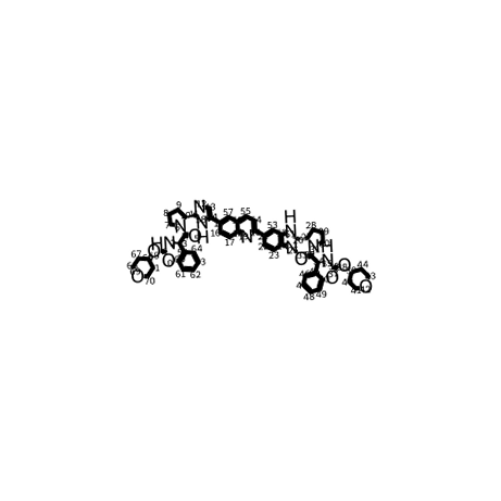 O=C(N[C@@H](C(=O)N1CCC[C@H]1c1ncc(-c2ccc3nc(-c4ccc5nc([C@@H]6CCCN6C(=O)[C@H](NC(=O)OC6CCOCC6)c6ccccc6)[nH]c5c4)ccc3c2)[nH]1)c1ccccc1)OC1CCOCC1